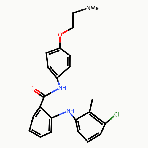 CNCCOc1ccc(NC(=O)c2ccccc2Nc2cccc(Cl)c2C)cc1